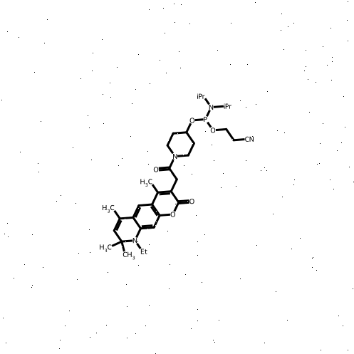 CCN1c2cc3oc(=O)c(CC(=O)N4CCC(OP(OCCC#N)N(C(C)C)C(C)C)CC4)c(C)c3cc2C(C)=CC1(C)C